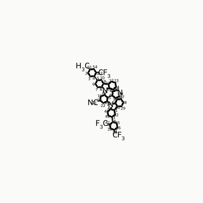 Cc1ccc(-c2ccc3c(c2)c2ccccc2n3-c2cc(C#N)cc(-n3c4ccccc4c4cc(-c5ccc(C(F)(F)F)cc5C(F)(F)F)ccc43)c2-c2ccncc2)c(C(F)(F)F)c1